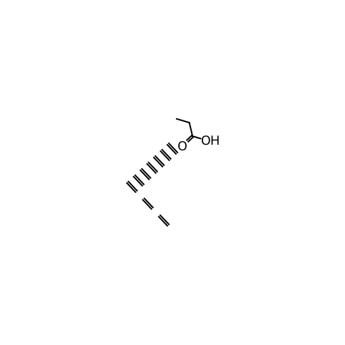 C=C.C=C.C=C.C=C.C=C.C=C.C=C.C=C.C=C.CCC(=O)O